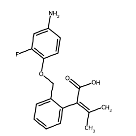 CC(C)=C(C(=O)O)c1ccccc1COc1ccc(N)cc1F